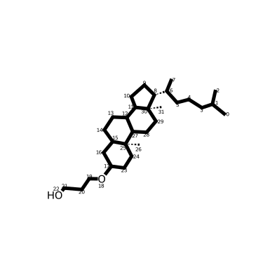 CC(C)CCCC(C)[C@H]1CCC2C3CCC4CC(OCCCO)CC[C@]4(C)C3CC[C@@]21C